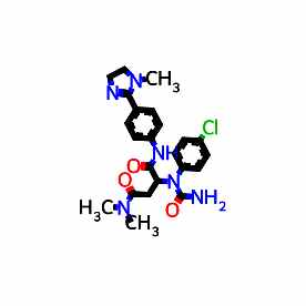 CN(C)C(=O)CC(C(=O)Nc1ccc(C2=NCCN2C)cc1)N(C(N)=O)c1ccc(Cl)cc1